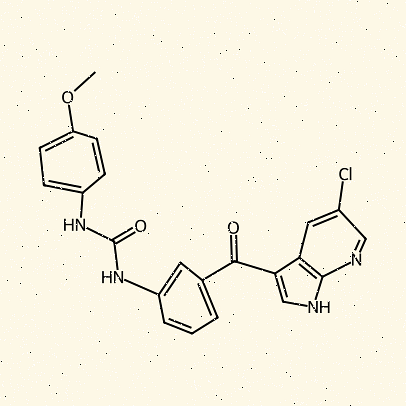 COc1ccc(NC(=O)Nc2cccc(C(=O)c3c[nH]c4ncc(Cl)cc34)c2)cc1